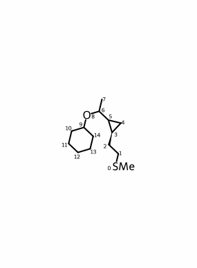 CSCC[C@@H]1CC1C(C)OC1CCCCC1